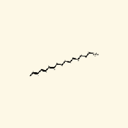 C/C=C/C=C/C=C/CCCCCCCCCOC(C)=O